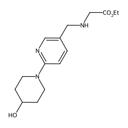 CCOC(=O)CNCc1ccc(N2CCC(O)CC2)nc1